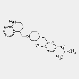 CC(C)Oc1ccc(Cl)c(CC2CCN(CC3CCNc4ccccc43)CC2)c1